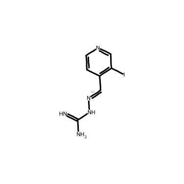 N=C(N)N/N=C/c1ccncc1I